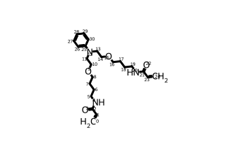 C=CC(=O)NCCCCOCCN(CCOCCCCNC(=O)C=C)c1ccccc1